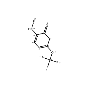 O=C1CC(OC(F)(F)F)=CC=C1NF